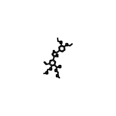 C=Cc1cc(-c2csc(-c3ccc(OCC)c(OCC)c3)n2)cc(C(=O)OCOC)c1OCOC